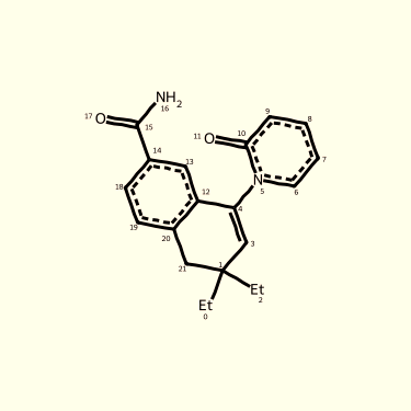 CCC1(CC)C=C(n2ccccc2=O)c2cc(C(N)=O)ccc2C1